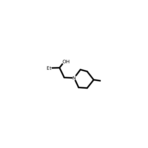 CCC(O)CN1CCC(C)CC1